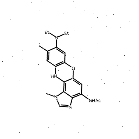 CCN(CC)c1cc2c(cc1C)Nc1c(cc(NC(C)=O)c3ncn(C)c13)O2